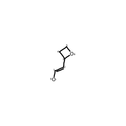 [O]C=CC1CCO1